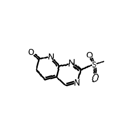 CS(=O)(=O)c1ncc2c(n1)=NC(=O)CC=2